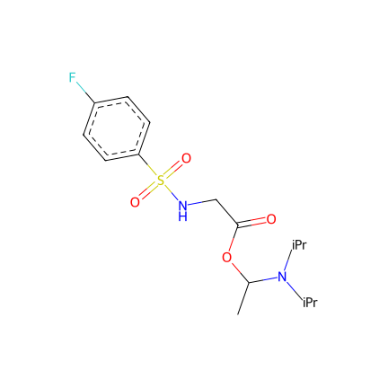 CC(C)N(C(C)C)C(C)OC(=O)CNS(=O)(=O)c1ccc(F)cc1